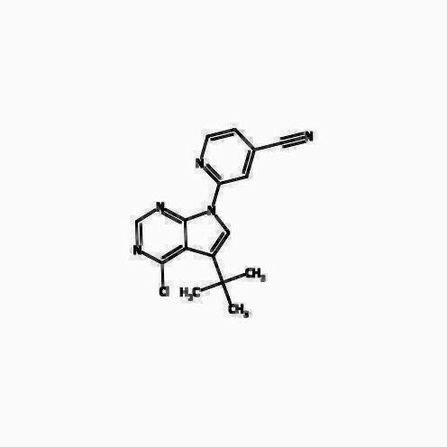 CC(C)(C)c1cn(-c2cc(C#N)ccn2)c2ncnc(Cl)c12